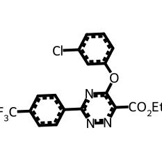 CCOC(=O)c1nnc(-c2ccc(C(F)(F)F)cc2)nc1Oc1cccc(Cl)c1